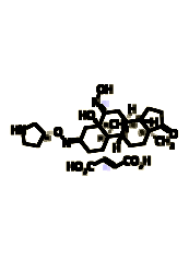 C[C@]12CC[C@H]3[C@@H](C/C(=N\O)[C@@]4(O)CC(=NO[C@@H]5CCNC5)CC[C@]34C)[C@@H]1CCC2=O.O=C(O)/C=C/C(=O)O